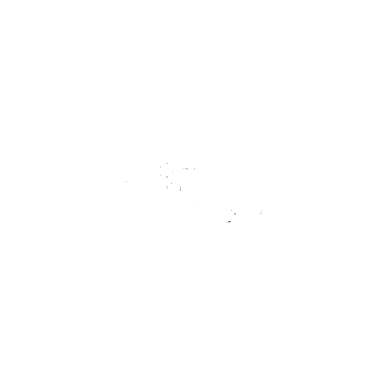 Cc1ncsc1-c1ccc(CNC(=O)[C@@H]2C[C@@H](O)CN2C(=O)[C@@H](NC(=O)CC/C=C/c2ccc(CO[C@H](C)[C@@H](N)CCC(N)=O)cc2)C(C)(C)C)cc1